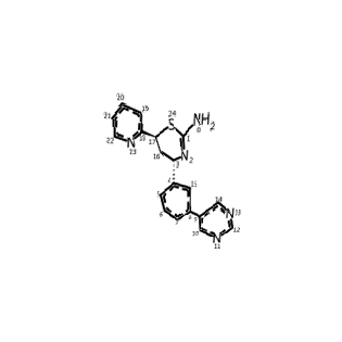 NC1=N[C@H](c2cccc(-c3cncnc3)c2)C[C@@H](c2ccccn2)S1